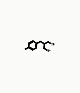 Cc1ccc(CC(CO)CC(C)C)cc1